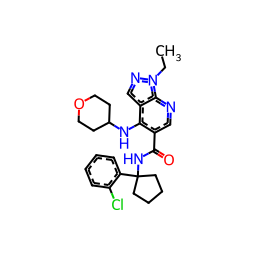 CCn1ncc2c(NC3CCOCC3)c(C(=O)NC3(c4ccccc4Cl)CCCC3)cnc21